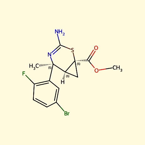 COC(=O)[C@]12C[C@H]1[C@@](C)(c1cc(Br)ccc1F)N=C(N)S2